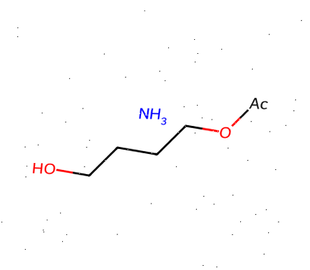 CC(=O)OCCCCO.N